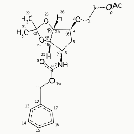 CC(=O)OCCO[C@H]1C[C@@H](NC(=O)OCc2ccccc2)[C@@H]2OC(C)(C)O[C@@H]21